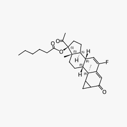 CCCCCC(=O)O[C@@]1(C(C)=O)CC[C@H]2[C@@H]3C=C(F)C4=CC(=O)C5CC5[C@@]4(C)[C@@H]3CC[C@@]21C